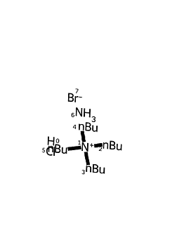 CCCC[N+](CCCC)(CCCC)CCCC.Cl.N.[Br-]